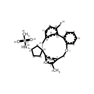 Cc1oc2nc1COc1ccccc1-c1cc(ccc1F)C[C@@]21CC[C@H](NS(C)(=O)=O)C1